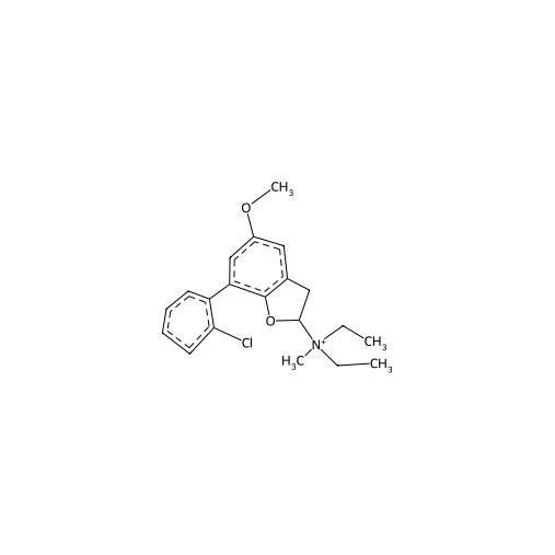 CC[N+](C)(CC)C1Cc2cc(OC)cc(-c3ccccc3Cl)c2O1